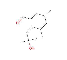 CC(CCC=O)CC(C)CCC(C)(C)O